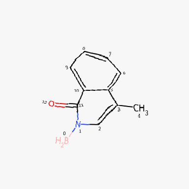 Bn1cc(C)c2ccccc2c1=O